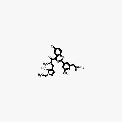 CCn1ncc(CN(C)C(=O)c2nc(-c3cc(C)nc(CNC)c3)nc3ccc(Cl)cc23)c1C